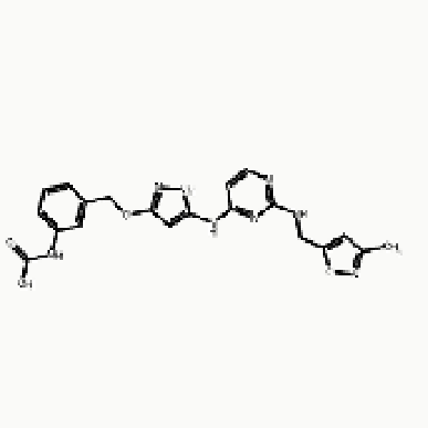 Cc1cc(CNc2nccc(Nc3cc(OCc4cccc(NC(=O)O)c4)n[nH]3)n2)on1